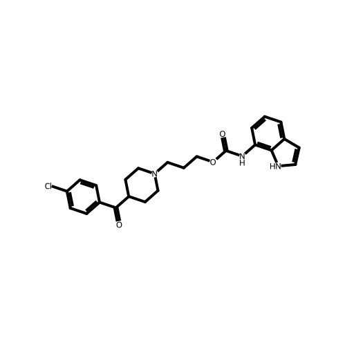 O=C(Nc1cccc2cc[nH]c12)OCCCN1CCC(C(=O)c2ccc(Cl)cc2)CC1